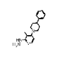 Cc1c(N2CCC(c3ccccc3)CC2)ccnc1NN